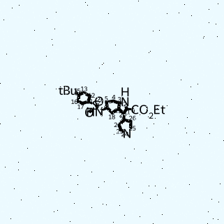 CCOC(=O)c1[nH]c2ccc(NS(=O)(=O)c3ccc(C(C)(C)C)cc3)cc2c1-c1ccncc1